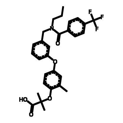 CCCN(Cc1cccc(Oc2ccc(OC(C)(C)C(=O)O)c(C)c2)c1)C(=O)c1ccc(C(F)(F)F)cc1